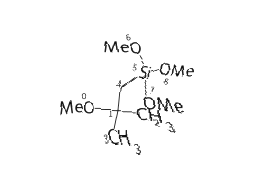 COC(C)(C)C[Si](OC)(OC)OC